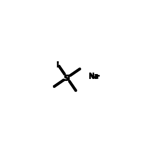 C[Si](C)(C)I.[Na]